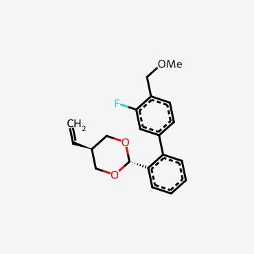 C=C[C@H]1CO[C@H](c2ccccc2-c2ccc(COC)c(F)c2)OC1